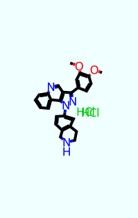 COc1ccc(-c2nn(-c3ccc4c(c3)CCNC4)c3c2cnc2ccccc23)cc1OC.Cl.Cl